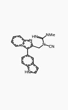 CNC(=N)N(C#N)Cc1nc2ccccn2c1-c1ccc2[nH]ccc2c1